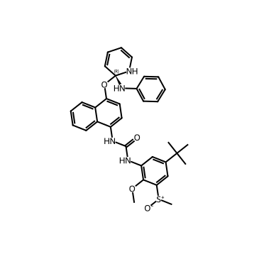 COc1c(NC(=O)Nc2ccc(O[C@]3(Nc4ccccc4)C=CC=CN3)c3ccccc23)cc(C(C)(C)C)cc1[S+](C)[O-]